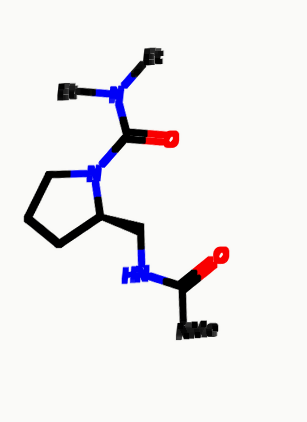 CCN(CC)C(=O)N1CCC[C@@H]1CNC(=O)NC